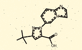 CC(C)(C)c1cc(C(=O)O)n(-c2ccc3nccn3c2)n1